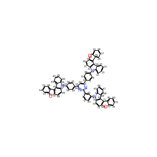 c1cc(-c2nc(-c3ccc(-n4c5ccccc5c5c6c(ccc54)oc4ccccc46)cc3)cc(-c3ccc(-n4c5ccccc5c5c6c(ccc54)oc4ccccc46)cc3)n2)cc(-n2c3ccccc3c3c4c(ccc32)oc2ccccc24)c1